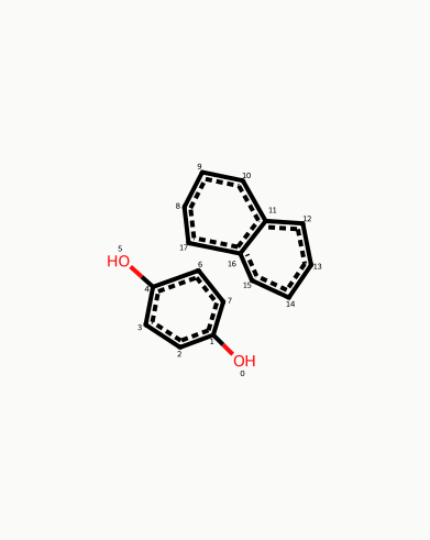 Oc1ccc(O)cc1.c1ccc2ccccc2c1